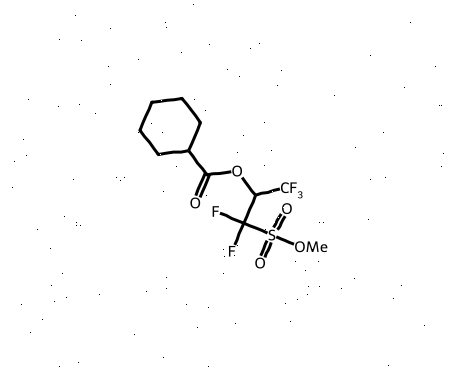 COS(=O)(=O)C(F)(F)C(OC(=O)C1CCCCC1)C(F)(F)F